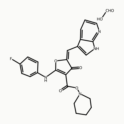 O=C(ON1CCCCC1)C1=C(Nc2ccc(F)cc2)OC(=Cc2c[nH]c3ncccc23)C1=O.O=CO